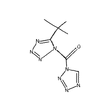 CC(C)(C)c1nnnn1C(=O)n1cnnn1